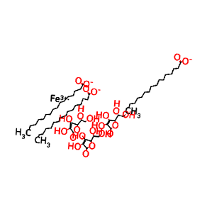 CCCCCCCCCCCCCCCC(=O)[O-].CCCCCCCCCCCCCCCC(=O)[O-].CCCCCCCCCCCCCCCC(=O)[O-].O=C1O[C@H]([C@@H](O)CO)C(O)=C1O.O=C1O[C@H]([C@@H](O)CO)C(O)=C1O.O=C1O[C@H]([C@@H](O)CO)C(O)=C1O.[Fe+3]